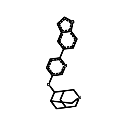 c1cc2cc(-c3ccc(OC4C5CC6CC4CN(C6)C5)cn3)ccc2o1